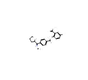 O=C(Nc1ccc(Cl)cc1C(=O)O)c1ccc(/C(=N\O)C2CCCO2)cc1